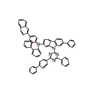 c1ccc(-c2ccc(-c3nc(-c4ccccc4)nc(-n4c5cc(-c6ccccc6)ccc5c5ccc(N(c6ccc(-c7ccc8ccccc8c7)cc6)c6ccccc6-c6ccccc6)cc54)n3)cc2)cc1